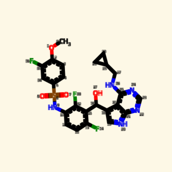 COc1ccc(S(=O)(=O)Nc2ccc(F)c(C(O)c3c[nH]c4ncnc(NCC5CC5)c34)c2F)cc1F